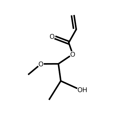 C=CC(=O)OC(OC)C(C)O